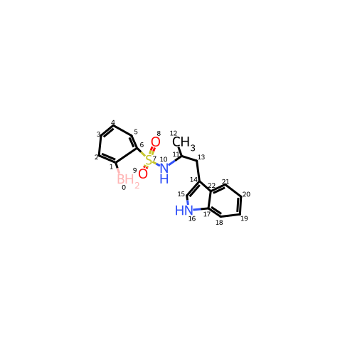 Bc1ccccc1S(=O)(=O)NC(C)Cc1c[nH]c2ccccc12